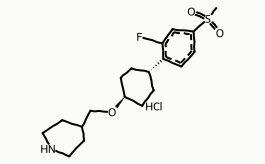 CS(=O)(=O)c1ccc([C@H]2CC[C@H](OCC3CCNCC3)CC2)c(F)c1.Cl